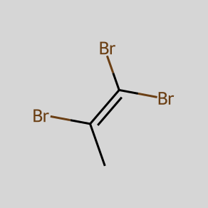 CC(Br)=C(Br)Br